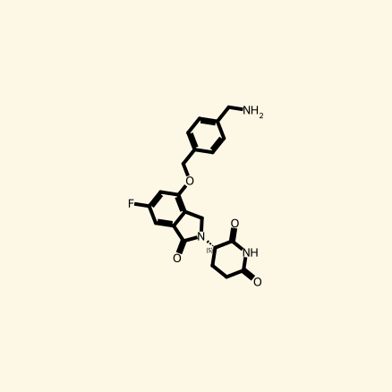 NCc1ccc(COc2cc(F)cc3c2CN([C@H]2CCC(=O)NC2=O)C3=O)cc1